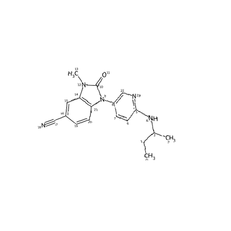 CCC(C)Nc1ccc(-n2c(=O)n(C)c3cc(C#N)ccc32)cn1